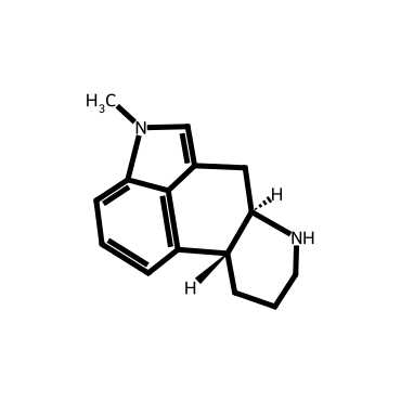 Cn1cc2c3c(cccc31)[C@H]1CCCN[C@@H]1C2